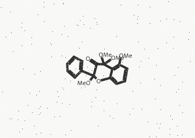 COc1cccc2c1C(OC)(OC)C(=O)C(OC)(c1ccccc1)O2